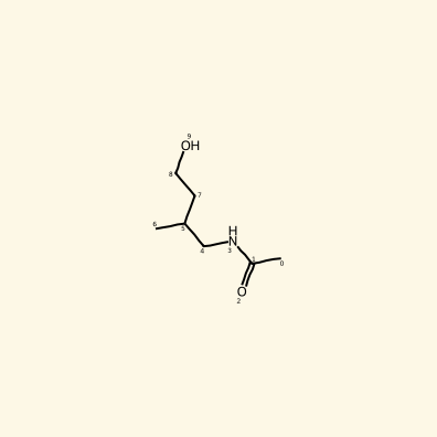 CC(=O)NCC(C)CCO